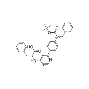 CC(C)(C)OC(=O)[As](Cc1ccccc1)c1ccc(-c2cc(NC(Cc3ccccc3)C(=O)O)ncn2)cc1